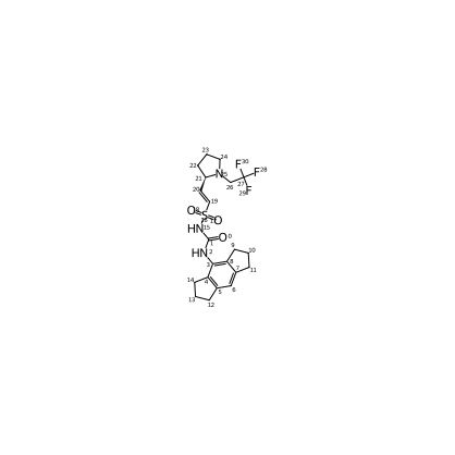 O=C(Nc1c2c(cc3c1CCC3)CCC2)NS(=O)(=O)/C=C/[C@H]1CCCN1CC(F)(F)F